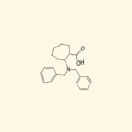 O=C(O)C1CCCCCC1N(Cc1ccccc1)Cc1ccccc1